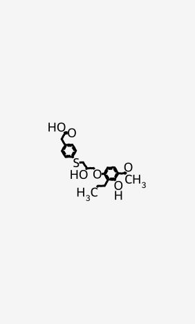 CCCc1c(OCC(O)CSc2ccc(CC(=O)O)cc2)ccc(C(C)=O)c1O